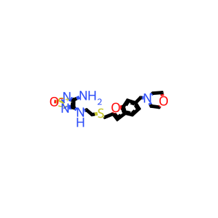 Nc1n[s+]([O-])nc1NCCSCc1cc2ccc(CN3CCOCC3)cc2o1